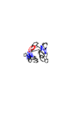 CC1(C)c2ccccc2-c2ccc3c(c21)c1cc(-c2nc(-c4ccccc4)nc(-c4ccccc4)n2)c2oc4ccccc4c2c1n3-c1ccccc1